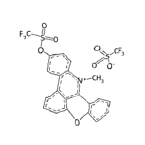 C[n+]1c2c3c(cccc3c3cc(OS(=O)(=O)C(F)(F)F)ccc31)Oc1ccccc1-2.O=S(=O)([O-])C(F)(F)F